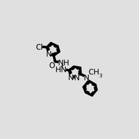 CN(c1ccccc1)c1ccc(NNC(=O)c2cccc(Cl)n2)nn1